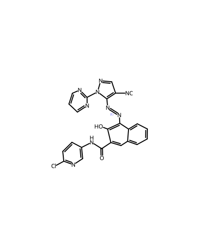 [C-]#[N+]c1cnn(-c2ncccn2)c1/N=N/c1c(O)c(C(=O)Nc2ccc(Cl)nc2)cc2ccccc12